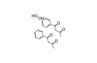 CC(=O)CC(=O)c1ccccc1.CC(=O)CC(=O)c1ccccc1.OO